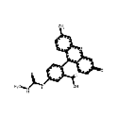 CNC(=S)Nc1ccc(-c2c3ccc(=O)cc-3oc3cc(C)ccc23)c(C(=O)O)c1